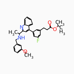 COc1cccc(CNC(C)c2cc(-c3cc(F)cc(CCC(=O)OC(C)C)c3)c3ccccc3n2)c1